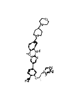 COc1ccc(N2CCC(N3CCOCC3)CC2)cc1Nc1ncc(-c2ccc(C#N)c(O[C@@H](C)Cn3cnnn3)c2)cn1